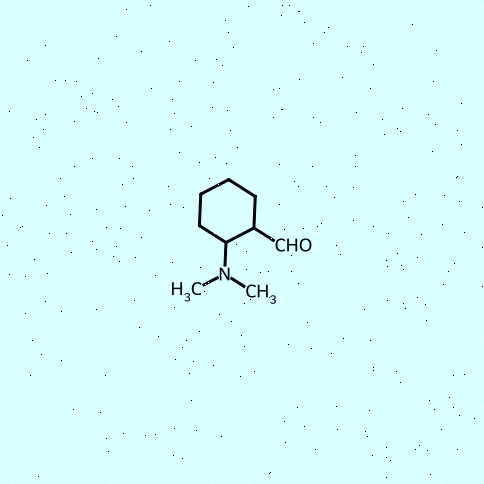 CN(C)C1CCCCC1C=O